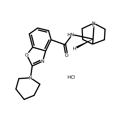 Cl.O=C(N[C@@H]1CN2CCC1CC2)c1cccc2oc(N3CCCCC3)nc12